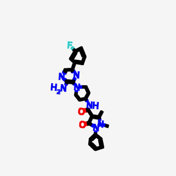 Cc1c(C(=O)NC2CCN(c3nc(-c4cccc(F)c4)cnc3N)CC2)c(=O)n(-c2ccccc2)n1C